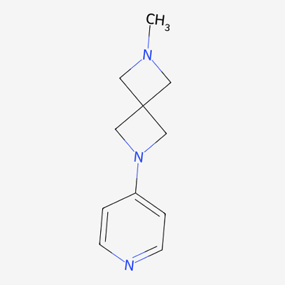 CN1CC2(C1)CN(c1ccncc1)C2